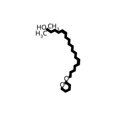 CC(C)(O)CCC/C=C\CCCCCCC/C=C\CCCCOC1CCCCO1